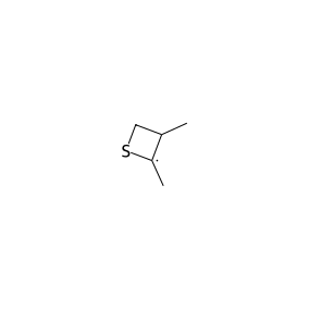 C[C]1SCC1C